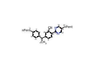 CCCCCc1ccc(C(C)c2ccc(-c3ncc(CCCCC)cn3)c(C#N)c2)cc1